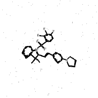 CC1(C)C(C=Cc2ccc(N3CCCC3)cc2)=[N+](C(F)(F)c2ccc(F)c(F)c2F)c2ccccc21.[I-]